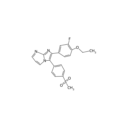 CCOc1ccc(-c2nc3ncccn3c2-c2ccc(S(C)(=O)=O)cc2)cc1F